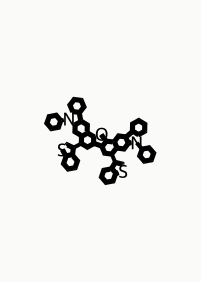 c1ccc(-n2c3ccccc3c3cc4c(cc32)c(-c2csc3ccccc23)cc2c3cc(-c5csc6ccccc56)c5cc6c(cc5c3oc42)c2ccccc2n6-c2ccccc2)cc1